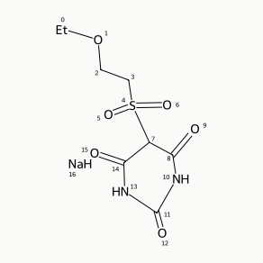 CCOCCS(=O)(=O)C1C(=O)NC(=O)NC1=O.[NaH]